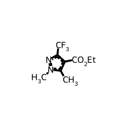 CCOC(=O)c1c(C(F)(F)F)nn(C)c1C